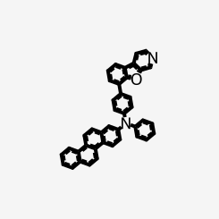 c1ccc(N(c2ccc(-c3cccc4c3oc3cnccc34)cc2)c2ccc3c(ccc4c5ccccc5ccc34)c2)cc1